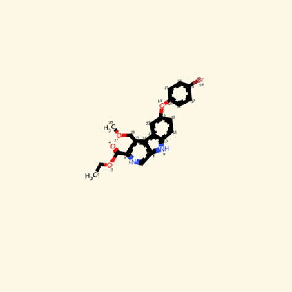 CCOC(=O)c1ncc2[nH]c3ccc(Oc4ccc(Br)cc4)cc3c2c1COC